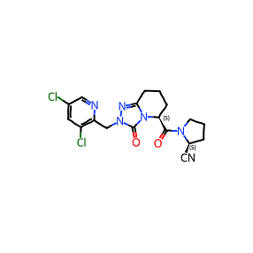 N#C[C@@H]1CCCN1C(=O)[C@@H]1CCCc2nn(Cc3ncc(Cl)cc3Cl)c(=O)n21